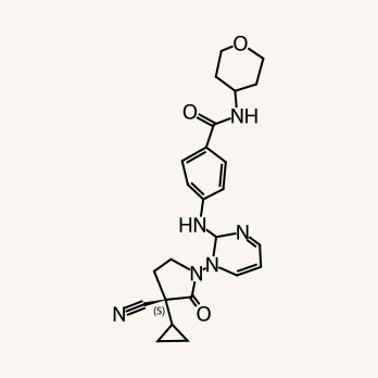 N#C[C@@]1(C2CC2)CCN(N2C=CC=NC2Nc2ccc(C(=O)NC3CCOCC3)cc2)C1=O